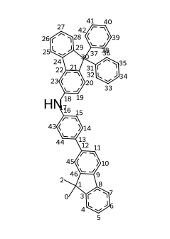 CC1(C)c2ccccc2-c2ccc(-c3ccc(Nc4ccc5c(c4)-c4ccccc4C5(c4ccccc4)c4ccccc4)cc3)cc21